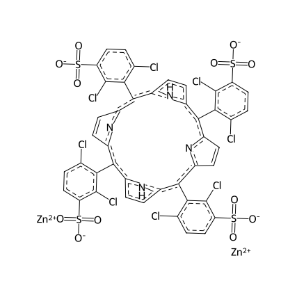 O=S(=O)([O-])c1ccc(Cl)c(-c2c3nc(c(-c4c(Cl)ccc(S(=O)(=O)[O-])c4Cl)c4ccc([nH]4)c(-c4c(Cl)ccc(S(=O)(=O)[O-])c4Cl)c4nc(c(-c5c(Cl)ccc(S(=O)(=O)[O-])c5Cl)c5ccc2[nH]5)C=C4)C=C3)c1Cl.[Zn+2].[Zn+2]